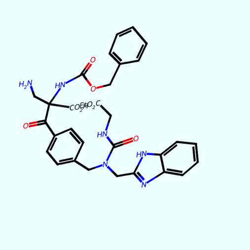 CCOC(=O)CNC(=O)N(Cc1ccc(C(=O)C(CN)(NC(=O)OCc2ccccc2)C(=O)O)cc1)Cc1nc2ccccc2[nH]1